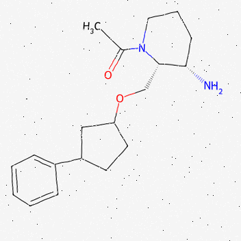 CC(=O)N1CCC[C@H](N)[C@@H]1COC1CCC(c2ccccc2)C1